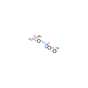 CN(Cc1ccc(CCCn2cnc3ccc(Oc4c(F)ccc(F)c4C#N)cc3c2=O)cc1)C(=O)OC(C)(C)C